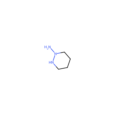 NN1CCCCN1